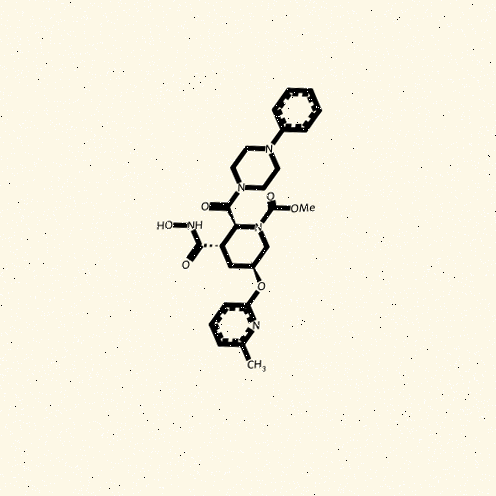 COC(=O)N1C[C@@H](Oc2cccc(C)n2)C[C@H](C(=O)NO)[C@H]1C(=O)N1CCN(c2ccccc2)CC1